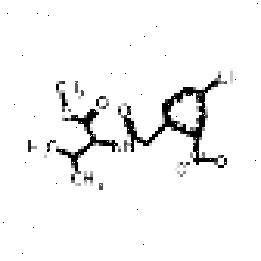 COC(=O)C(NC(=O)Cc1ccc(Cl)cc1[N+](=O)[O-])C(C)C